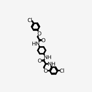 O=C(COc1ccc(Cl)cc1)NC1CCC(NC(=O)C2COc3ccc(Cl)cc3N2)CC1